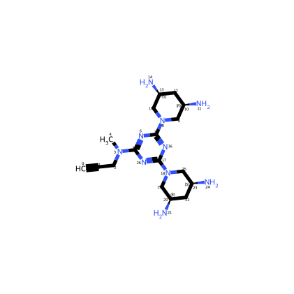 C#CCN(C)c1nc(N2C[C@H](N)C[C@H](N)C2)nc(N2C[C@H](N)C[C@H](N)C2)n1